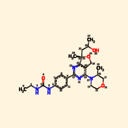 CCNC(=O)Nc1ccc(-c2nc(N3CCOCC3C)c3c(n2)[C@](C)(CC(C)O)OC3)cc1